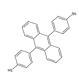 Sc1ccc(-c2c3ccccc3c(-c3ccc(S)cc3)c3ccccc23)cc1